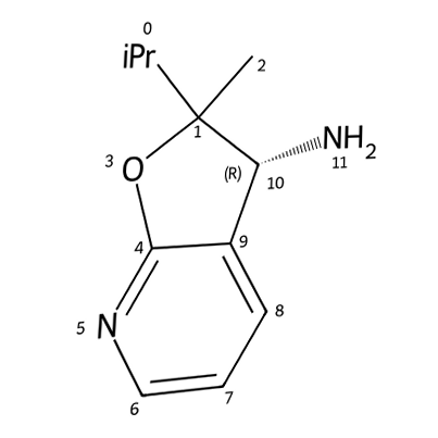 CC(C)C1(C)Oc2ncccc2[C@H]1N